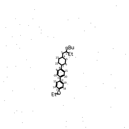 CCCCC(CC)CC1CCC(c2ccc(-c3ccc(OCC)cc3)cc2)CC1